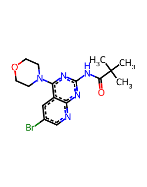 CC(C)(C)C(=O)Nc1nc(N2CCOCC2)c2cc(Br)cnc2n1